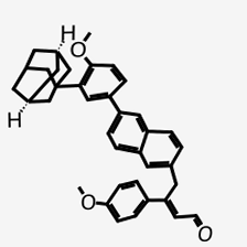 COc1ccc(/C(=C/C=O)Cc2ccc3cc(-c4ccc(OC)c(C56CC7C[C@H](C5)C[C@@H](C7)C6)c4)ccc3c2)cc1